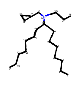 CCCCCCCC(CCCCCCC)N(CCC)CC1CC1